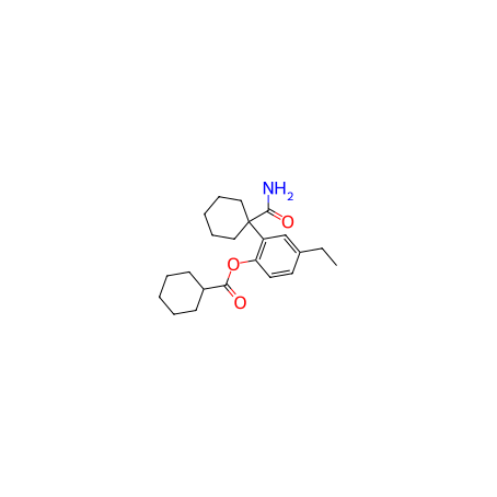 CCc1ccc(OC(=O)C2CCCCC2)c(C2(C(N)=O)CCCCC2)c1